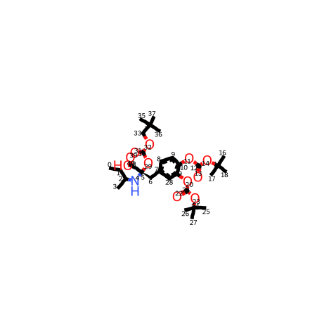 CCC(C)N[C@@](Cc1ccc(OC(=O)OC(C)(C)C)c(OC(=O)OC(C)(C)C)c1)(OC(=O)OCC(C)(C)C)C(=O)O